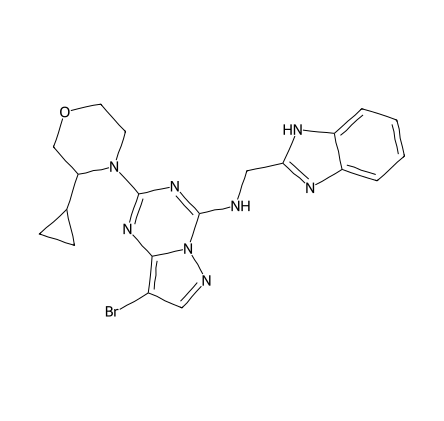 Brc1cnn2c(NCc3nc4ccccc4[nH]3)nc(N3CCOCC3C3CC3)nc12